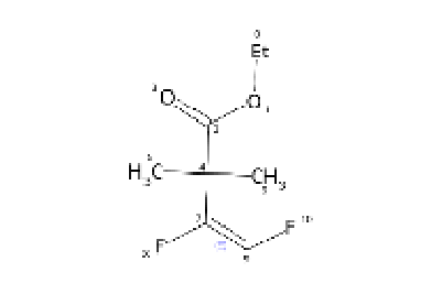 CCOC(=O)C(C)(C)/C(F)=C\F